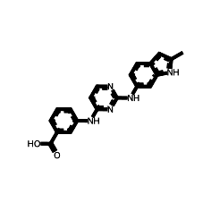 Cc1cc2ccc(Nc3nccc(Nc4cccc(C(=O)O)c4)n3)cc2[nH]1